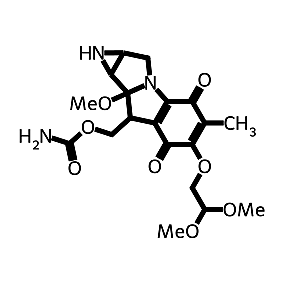 COC(COC1=C(C)C(=O)C2=C(C1=O)C(COC(N)=O)C1(OC)C3NC3CN21)OC